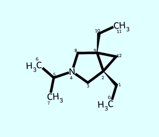 CC[C@@]12CN(C(C)C)C[C@]1(CC)C2